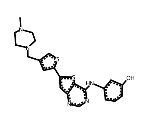 CN1CCN(Cc2csc(-c3cc4ncnc(Nc5cccc(O)c5)c4s3)c2)CC1